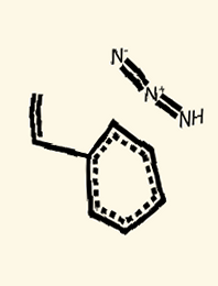 C=Cc1ccccc1.[N-]=[N+]=N